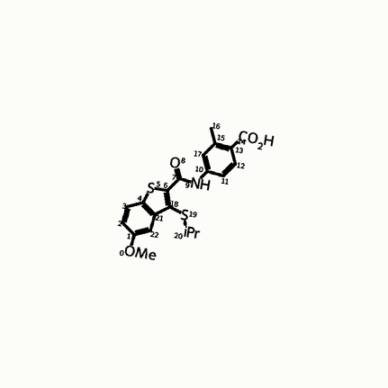 COc1ccc2sc(C(=O)Nc3ccc(C(=O)O)c(C)c3)c(SC(C)C)c2c1